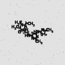 C=CC(=O)N(C)[C@@H](C)C(=O)NCCNc1cc(NC2=NC(C)CS2)nc(C)n1